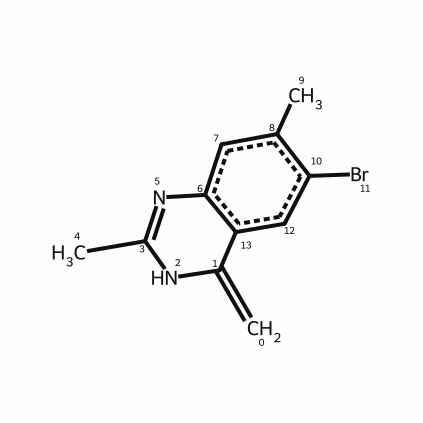 C=C1NC(C)=Nc2cc(C)c(Br)cc21